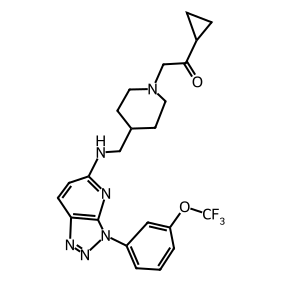 O=C(CN1CCC(CNc2ccc3nnn(-c4cccc(OC(F)(F)F)c4)c3n2)CC1)C1CC1